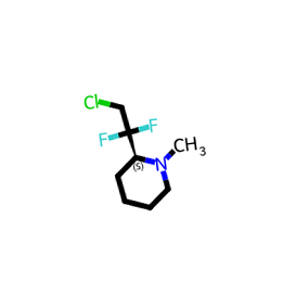 CN1CCCC[C@H]1C(F)(F)CCl